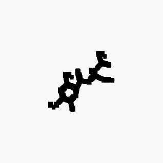 CN/C(=N/C(=O)c1nc(Cl)c(N)nc1N)NC(N)=O